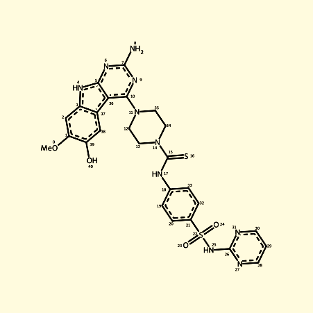 COc1cc2[nH]c3nc(N)nc(N4CCN(C(=S)Nc5ccc(S(=O)(=O)Nc6ncccn6)cc5)CC4)c3c2cc1O